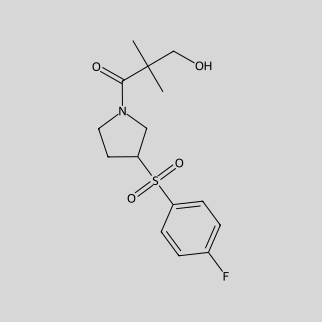 CC(C)(CO)C(=O)N1CCC(S(=O)(=O)c2ccc(F)cc2)C1